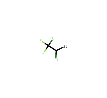 CCC(Cl)C(F)(F)Cl